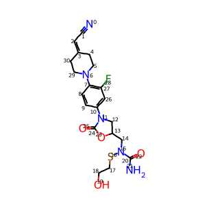 N#CC=C1CCN(c2ccc(N3CC(CN(SCCO)C(N)=O)OC3=O)cc2F)CC1